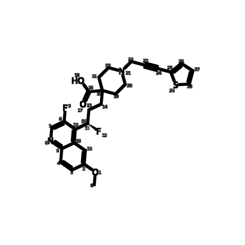 COc1ccc2ncc(F)c([C@@H](F)CCC3(C(=O)O)CCN(CC#Cc4cccs4)CC3)c2c1